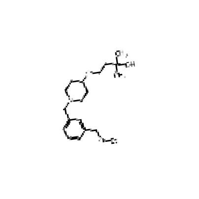 CCOCc1cccc(CN2CCC(OCCC(C)(C)O)CC2)c1